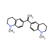 C=C(c1ccc2c(c1)CCCN2C)c1ccc2c(c1)CCCN2C